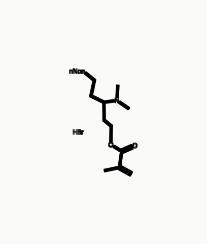 Br.C=C(C)C(=O)OCCC(CCCCCCCCCCC)N(C)C